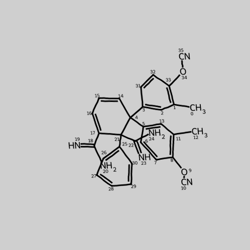 Cc1cc(C2(c3ccc(OC#N)c(C)c3)C=CC=C(C(=N)N)C2(C(=N)N)c2ccccc2)ccc1OC#N